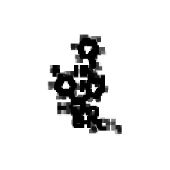 CCON1C(c2ccnc(NCc3ccccc3)n2)=C(c2ccc(F)cc2)NN1C